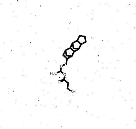 CC(OCC1CC2CC1C1C3CC(C4CCCC43)C21)OC(=O)CCS